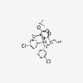 C=CC[C@H]1C[C@H](c2cccc(Cl)c2)[C@@H](c2ccc(Cl)cc2)N([C@H](C(=O)OC(C)(C)C)C2CC2)C1=O